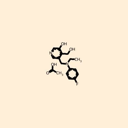 CC(=O)O.CCN(Cc1cncc(O)c1CO)c1ccc(F)cc1